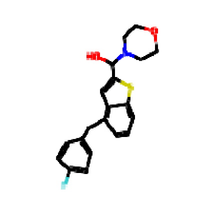 OC(c1cc2c(Cc3ccc(F)cc3)cccc2s1)N1CCOCC1